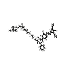 CCN(CC(OCCOCCOCCOCC[N+](C)(C)CCCS(=O)(=O)O)c1ccccc1)c1ccc(/N=N/c2sc(C#N)c(C)c2C#N)c(C)c1